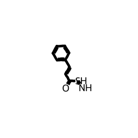 N=[SH]C(=O)C=Cc1ccccc1